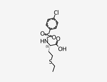 CCSCC[C@H](NS(=O)(=O)c1ccc(Cl)cc1)C(=O)O